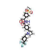 CCS(=O)(=O)c1ccc(C(CO)NC(=O)c2ccc(C3CCCN3Cc3ccc(C(F)(F)F)cc3)cc2)cc1